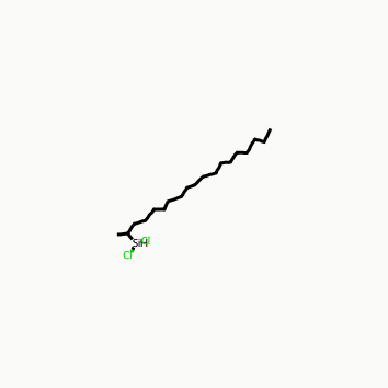 CCCCCCCCCCCCCCCCCC(C)[SiH](Cl)Cl